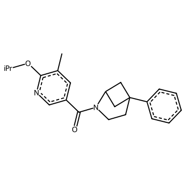 Cc1cc(C(=O)N2CCC3(c4ccccc4)CC2C3)cnc1OC(C)C